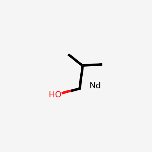 CC(C)CO.[Nd]